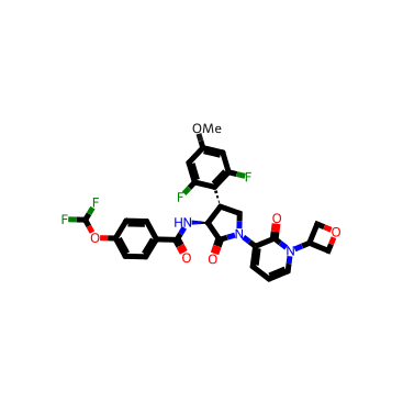 COc1cc(F)c([C@@H]2CN(c3cccn(C4COC4)c3=O)C(=O)[C@H]2NC(=O)c2ccc(OC(F)F)cc2)c(F)c1